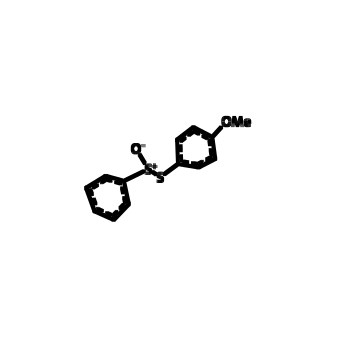 COc1ccc(S[S+]([O-])c2ccccc2)cc1